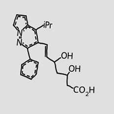 CC(C)c1c(/C=C/C(O)CC(O)CC(=O)O)c(-c2ccccc2)nn2cccc12